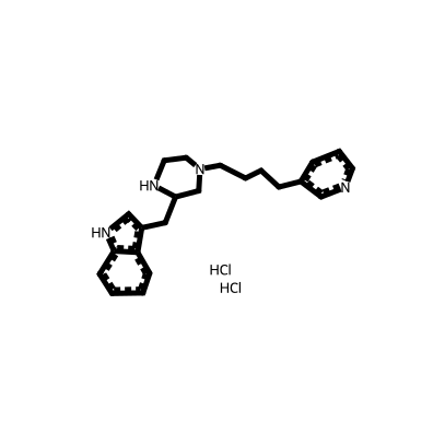 Cl.Cl.c1cncc(CCCCN2CCNC(Cc3c[nH]c4ccccc34)C2)c1